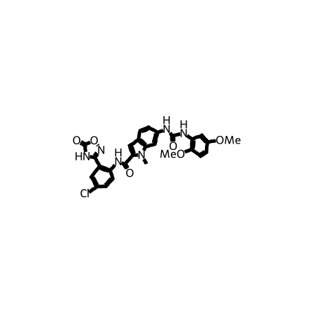 COc1ccc(OC)c(NC(=O)Nc2ccc3cc(C(=O)Nc4ccc(Cl)cc4-c4noc(=O)[nH]4)n(C)c3c2)c1